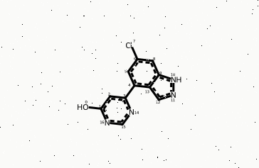 Oc1cc(-c2cc(Cl)cc3[nH]ncc23)ncn1